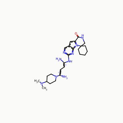 CN(C)C1CCN(/C(N)=C/C=C(\N)Nc2ncc3cc4n(c3n2)C2(CCCCC2)CNC4=O)CC1